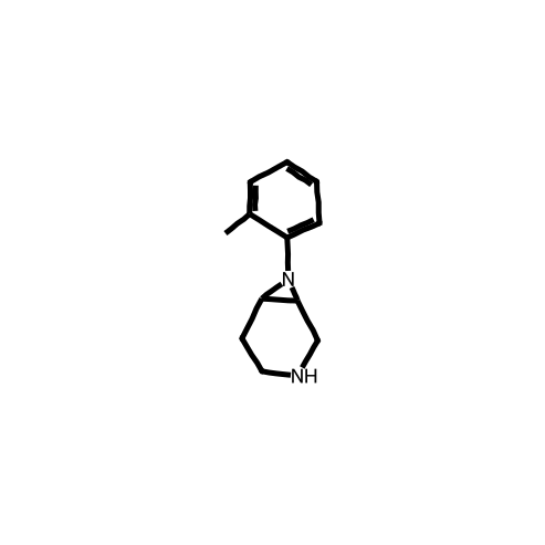 Cc1ccccc1N1C2CCNCC21